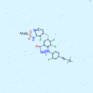 CNS(=O)(=O)Nc1nccc(Cc2cc(C(N)=O)c(Nc3ccc(C#C[Si](C)(C)C)cc3F)c(F)c2F)c1F